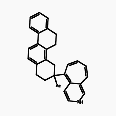 CC(=O)C1(C2=C3C=CNC=C3C=CC=C2)CCc2ccc3c(c2C1)CCc1ccccc1-3